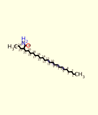 CCCCC/C=C/C=C/C=C/C=C/CCCCCCCCCC(CCC)C(N)=O